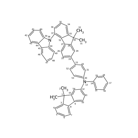 CC1(C)c2ccccc2-c2ccc(N(c3ccccc3)c3ccc(-c4ccc5c(c4)C(C)(C)c4cccc(-n6c7ccccc7c7ccccc76)c4-5)cc3)cc21